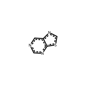 c1ncc2ncsc2n1